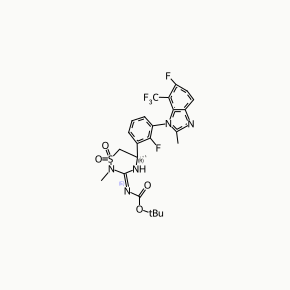 Cc1nc2ccc(F)c(C(F)(F)F)c2n1-c1cccc([C@]2(C)CS(=O)(=O)N(C)/C(=N/C(=O)OC(C)(C)C)N2)c1F